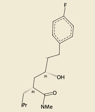 CNC(=O)[C@H](CC(C)C)C[C@@H](O)[CH]Cc1ccc(F)cc1